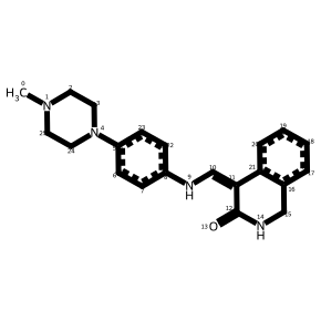 CN1CCN(c2ccc(NC=C3C(=O)NCc4ccccc43)cc2)CC1